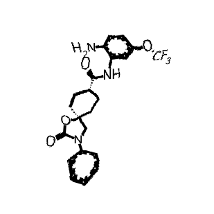 Nc1ccc(OC(F)(F)F)cc1NC(=O)[C@H]1CC[C@]2(CC1)CN(c1ccccc1)C(=O)O2